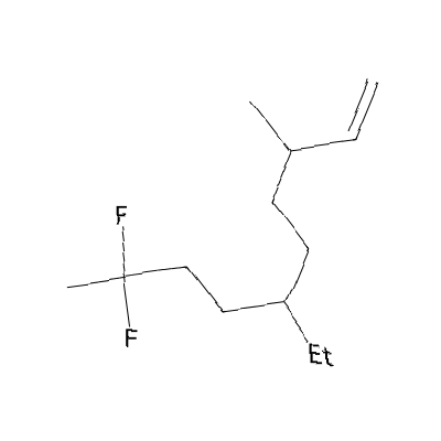 C=CC(C)CCC(CC)CCC(C)(F)F